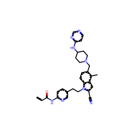 C=CC(=O)Nc1ccc(CCn2c(C#N)cc3c(C)c(CN4CCC(Nc5ccncn5)CC4)ccc32)cn1